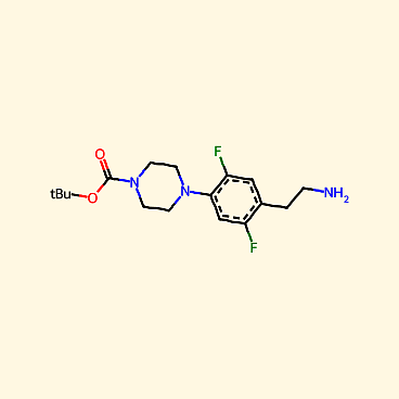 CC(C)(C)OC(=O)N1CCN(c2cc(F)c(CCN)cc2F)CC1